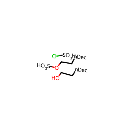 CCCCCCCCCCCCO.CCCCCCCCCCCCOS(=O)(=O)O.O=S(=O)(O)Cl